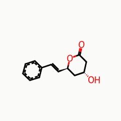 O=C1C[C@H](O)C[C@@H](/C=C/c2ccccc2)O1